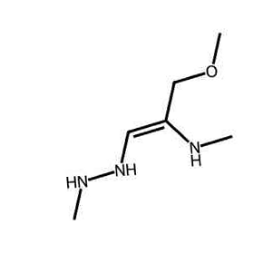 CNN/C=C(/COC)NC